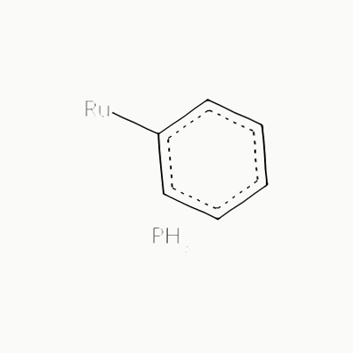 P.[Ru][c]1ccccc1